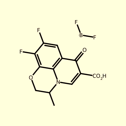 CC1COc2c(F)c(F)cc3c(=O)c(C(=O)O)cn1c23.F[B]F